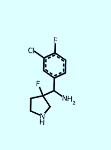 NC(c1ccc(F)c(Cl)c1)C1(F)CCNC1